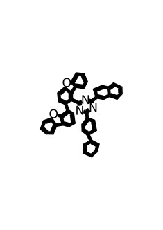 C1=CC(c2ccc(-c3nc(-c4ccc5ccccc5c4)nc(-c4c(-c5cccc6c5oc5ccccc56)ccc5oc6ccccc6c45)n3)cc2)=CCC1